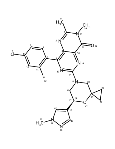 Cc1nc2c(-c3ccc(Cl)cc3F)nc(N3C[C@H](c4cnn(C)c4)OC4(CC4)C3)nc2c(=O)n1C